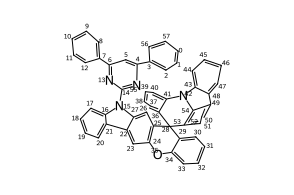 c1ccc(-c2cc(-c3ccccc3)nc(-n3c4ccccc4c4cc5c(cc43)C3(c4ccccc4O5)c4ccccc4-n4c5ccccc5c5cccc3c54)n2)cc1